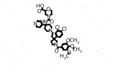 COc1cc(C(=O)N2CCC(CCN3CCC(NC(=O)N4CCOC(C(=O)O)C4)(c4ccncc4)CC3)(c3ccc(Cl)c(Cl)c3)C2)cc(OC)c1OC